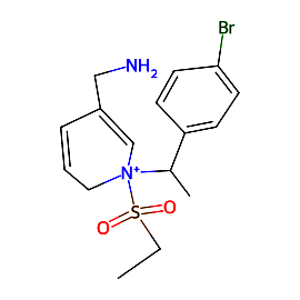 CCS(=O)(=O)[N+]1(C(C)c2ccc(Br)cc2)C=C(CN)C=CC1